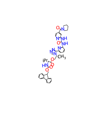 CC(C)[C@H](NC(=O)OCC1c2ccccc2-c2ccccc21)C(=O)OC[C@@H](C)n1cnnc1-c1cccc(NC(=O)Nc2cc(C(=O)N3CCCCC3)ccn2)n1